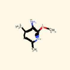 COc1nc(C)cc(C)c1N